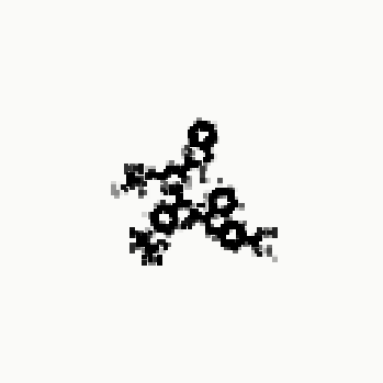 CN(Cc1ccccc1)C(=O)C(CCCNC(=N)N)NC(=O)C(NC(=O)C(Cc1ccc(C(=N)N)cc1)C1CCCCC1)C1CCCCC1.O=C(O)C(F)(F)F